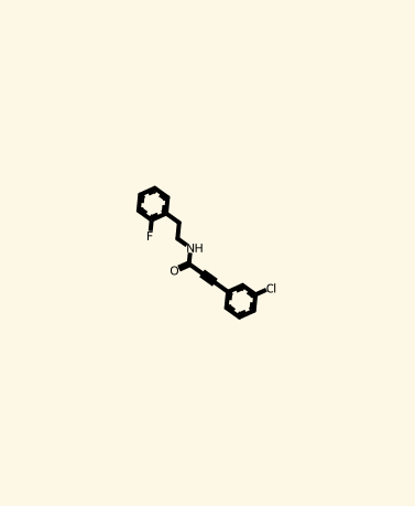 O=C(C#Cc1cccc(Cl)c1)NCCc1ccccc1F